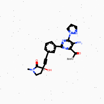 COC(=O)c1nc(-c2cccc(C#C[C@]3(O)CCN(C)C3=O)c2)nc(-n2cccn2)c1N